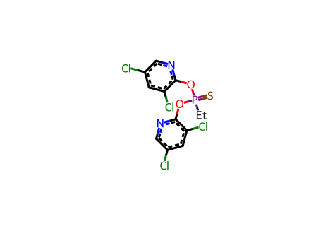 CCP(=S)(Oc1ncc(Cl)cc1Cl)Oc1ncc(Cl)cc1Cl